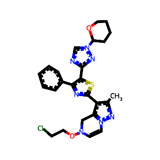 Cc1nn2c(c1-c1nc(-c3ccccc3)c(-c3ncn(C4CCCCO4)n3)s1)CN(OCCCl)C=C2